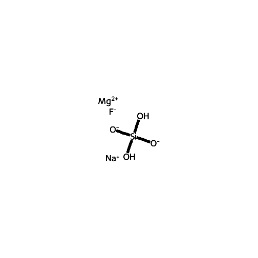 [F-].[Mg+2].[Na+].[O-][Si]([O-])(O)O